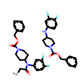 CCC(=O)N(c1ccc(F)c(F)c1)C1CCN(C(=O)OCc2ccccc2)CC1.O=C(OCc1ccccc1)N1CCC(Nc2ccc(F)c(F)c2)CC1